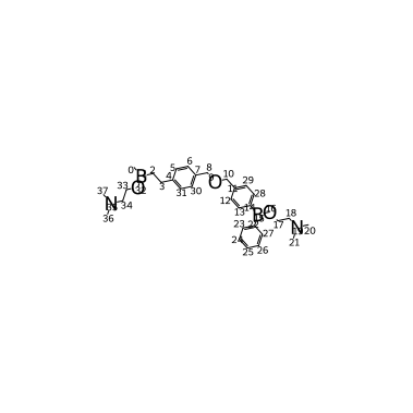 CB(CCc1ccc(COCc2ccc(B(OCCN(C)C)c3ccccc3)cc2)cc1)OCCN(C)C